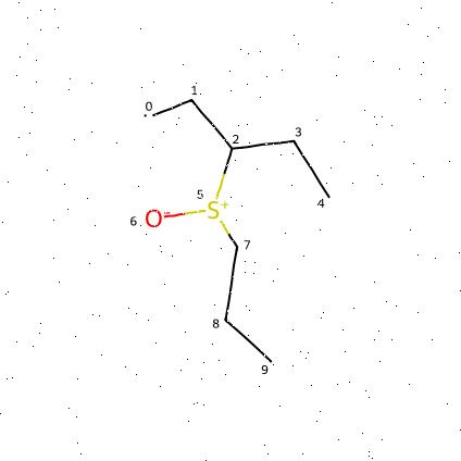 [CH2]CC(CC)[S+]([O-])CCC